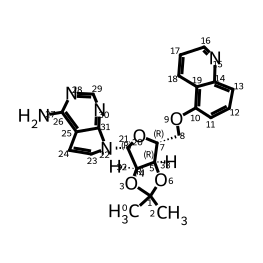 CC1(C)O[C@@H]2[C@H](O1)[C@@H](COc1cccc3ncccc13)O[C@H]2n1ccc2c(N)ncnc21